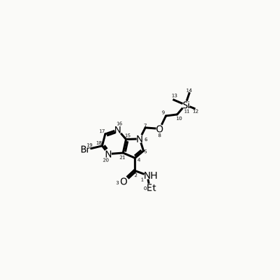 CCNC(=O)c1cn(COCC[Si](C)(C)C)c2ncc(Br)nc12